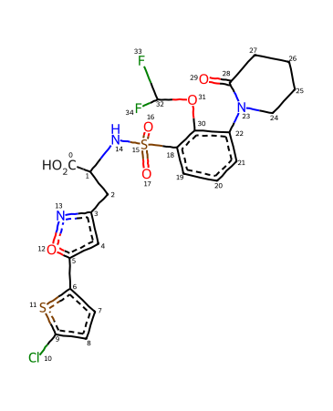 O=C(O)C(Cc1cc(-c2ccc(Cl)s2)on1)NS(=O)(=O)c1cccc(N2CCCCC2=O)c1OC(F)F